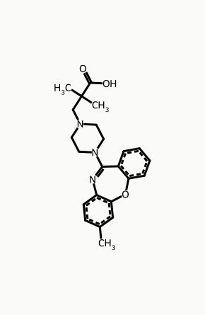 Cc1ccc2c(c1)Oc1ccccc1C(N1CCN(CC(C)(C)C(=O)O)CC1)=N2